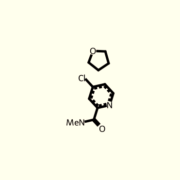 C1CCOC1.CNC(=O)c1cc(Cl)ccn1